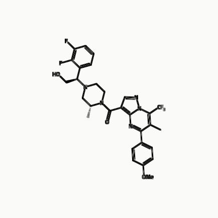 COc1ccc(-c2nc3c(C(=O)N4CCN([C@@H](CO)c5cccc(F)c5F)C[C@H]4C)cnn3c(C(F)(F)F)c2C)cc1